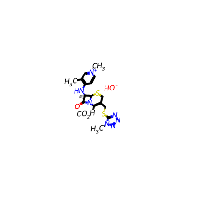 Cc1c[n+](C)ccc1N[C@@H]1C(=O)N2C(C(=O)O)=C(CSc3nnnn3C)CSC12.[OH-]